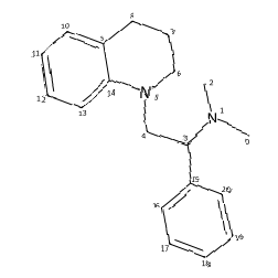 CN(C)C(CN1CCCc2ccccc21)c1ccccc1